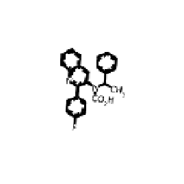 CC(c1ccccc1)N(C(=O)O)c1cc2ccccc2nc1-c1ccc(F)cc1